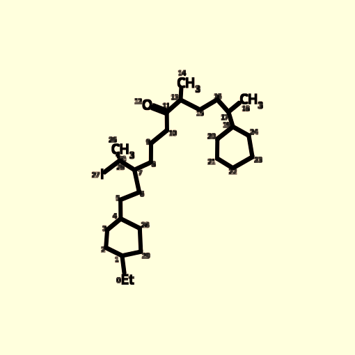 CCC1CCC(CCC(CCCC(=O)C(C)CCC(C)C2CCCCC2)[C@@H](C)I)CC1